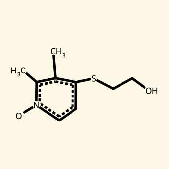 Cc1c(SCCO)cc[n+]([O-])c1C